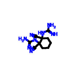 N#CC1(NC(=N)N)CCCCC1(C#N)NC(=N)N